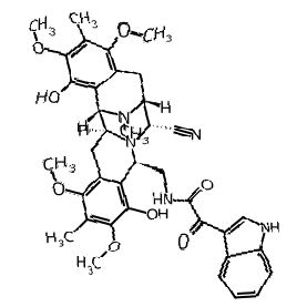 COc1c(C)c(OC)c2c(c1O)[C@H]1[C@@H]3Cc4c(OC)c(C)c(OC)c(O)c4[C@H](CNC(=O)C(=O)c4c[nH]c5ccccc45)N3[C@@H](C#N)[C@@H](C2)N1C